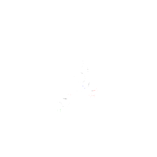 Cc1ccc(-c2c(C)c(C(=O)O)n(CCCOc3cc(C)c(Cl)c(C)c3)c2CC(C)C)cc1